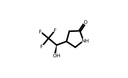 O=C1CC([C@@H](O)C(F)(F)F)CN1